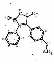 CSc1ccc(C2=C(c3ccccc3)C(=O)OC2O)cc1